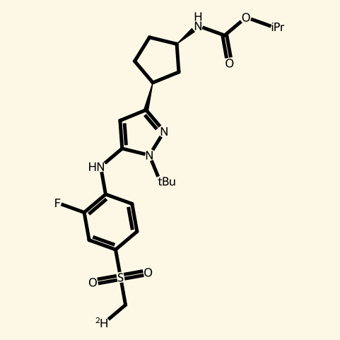 [2H]CS(=O)(=O)c1ccc(Nc2cc([C@H]3CC[C@@H](NC(=O)OC(C)C)C3)nn2C(C)(C)C)c(F)c1